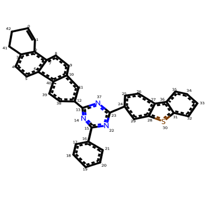 C1=Cc2c(ccc3c2ccc2cc(-c4nc(-c5ccccc5)nc(-c5ccc6c(c5)sc5ccccc56)n4)ccc23)CC1